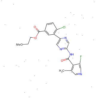 COCCOC(=O)c1ccc(Cl)c(-c2cnc(NC(=O)c3c(C)cncc3F)cn2)c1